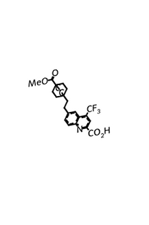 COC(=O)C12CCC(CCc3ccc4nc(C(=O)O)cc(C(F)(F)F)c4c3)(CC1)CC2